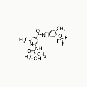 Cc1cc(C(=O)NCc2ccc(OC(F)(F)F)c(C)c2)cc(NC(=O)C(C)(C)O)n1